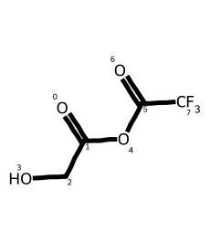 O=C(CO)OC(=O)C(F)(F)F